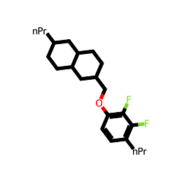 CCCc1ccc(OCC2CCC3CC(CCC)CCC3C2)c(F)c1F